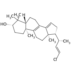 C[C@H](C=CCl)[C@H]1CC=C2C3=C(CC[C@@]21C)[C@@]1(C)CC[C@H](O)C(C)(C)[C@@H]1CC3